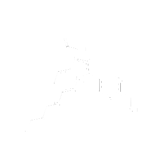 CC(=O)O.CCCCNc1ccc2ncc(-c3ccc(CN)nc3)n2n1